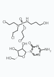 Nc1ncn([C@@H]2O[C@H](CO)[C@@H](O)[C@H]2O)c(=O)n1.O=P(NCCCO)(OCCCl)N(CCCl)CCCl